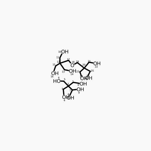 OCC(CO)(CO)C(O)O.OCC(CO)(CO)COCC(CO)(CO)CO